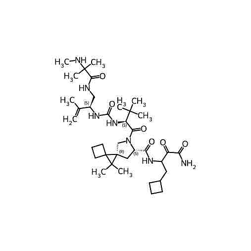 C=C(C)[C@@H](CNC(=O)C(C)(C)NC)NC(=O)N[C@H](C(=O)N1C[C@]2(C[C@H]1C(=O)NC(CC1CCC1)C(=O)C(N)=O)C(C)(C)C21CCC1)C(C)(C)C